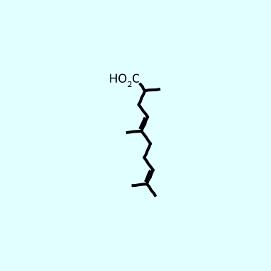 CC(C)=CCC/C(C)=C/CC(C)C(=O)O